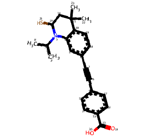 CC(C)N1c2cc(C#Cc3ccc(C(=O)O)cc3)ccc2C(C)(C)CC1S